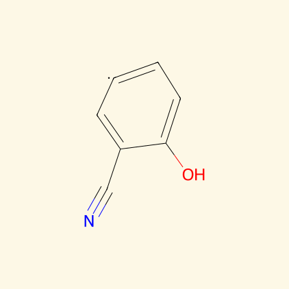 N#Cc1c[c]ccc1O